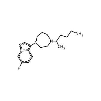 CC(CCCN)N1CCCN(c2csc3cc(F)ccc23)CC1